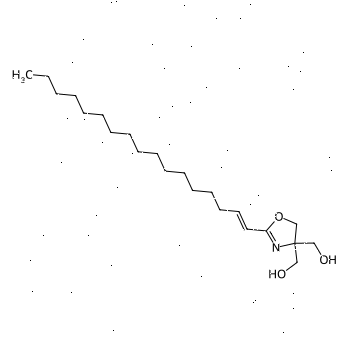 CCCCCCCCCCCCCCCC=CC1=NC(CO)(CO)CO1